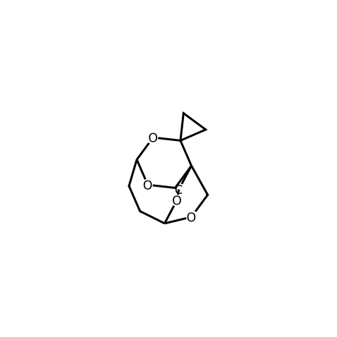 C1CC2OCC3(COC1OC3)C1(CC1)O2